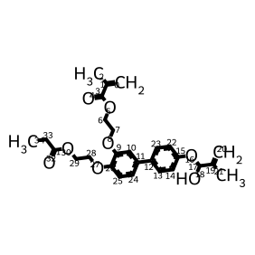 C=C(C)C(=O)OCCOc1cc(-c2ccc(OC(O)C(=C)C)cc2)ccc1OCCOC(=O)CC